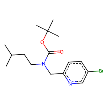 CC(C)CCN(Cc1ccc(Br)cn1)C(=O)OC(C)(C)C